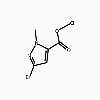 Cn1nc(Br)cc1C(=O)OCl